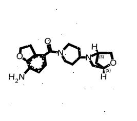 Nc1ccc(C(=O)N2CCC(N3C[C@@H]4C[C@H]3CO4)CC2)c2c1OCC2